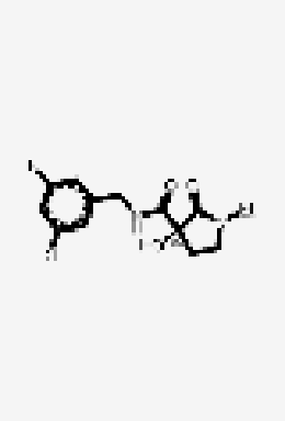 CCN1CC[C@](O)(C(=O)NCc2cc(F)cc(Cl)c2)C1=O